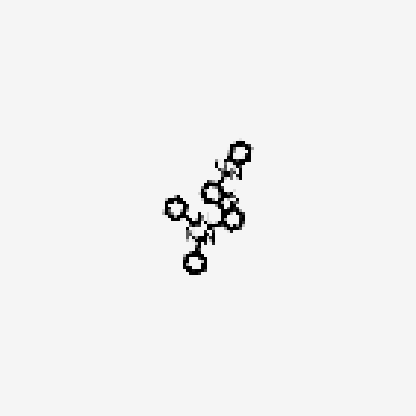 c1ccc(-c2nc(-c3ccccc3)nc(-c3cccc4sc5c(-c6nc7ccccc7o6)cccc5c34)n2)cc1